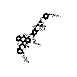 CCNc1nc(Nc2cc(Nc3ccc4c5c3C(=O)c3ccccc3-c5c(C(=O)c3cccc(SOOO)c3)c(=O)n4C)c(SOOO)cc2S(=O)(=O)O)nc(Oc2ccc(SOOO)cc2)n1